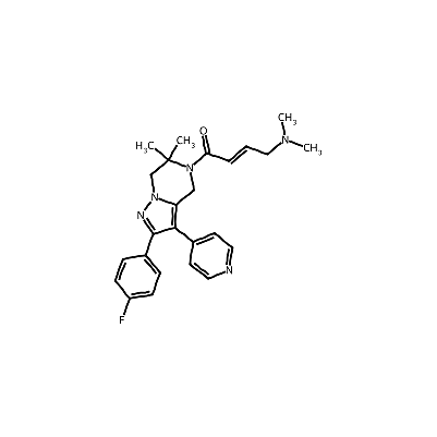 CN(C)C/C=C/C(=O)N1Cc2c(-c3ccncc3)c(-c3ccc(F)cc3)nn2CC1(C)C